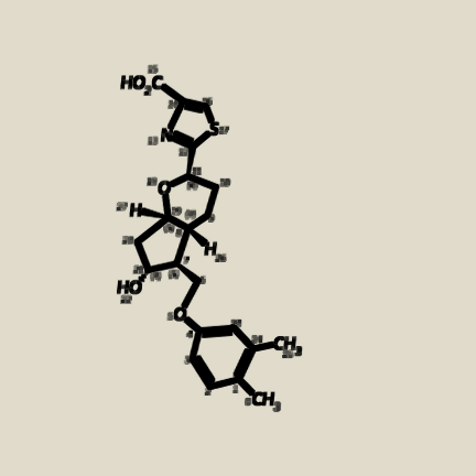 Cc1ccc(OC[C@@H]2[C@H]3CC[C@H](c4nc(C(=O)O)cs4)O[C@H]3C[C@H]2O)cc1C